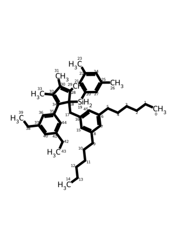 CCCCCCc1cc(CCCCCC)cc(CC2([SiH2]c3cc(C)cc(C)c3)C(C)=C(C)C(C)=C2c2cc(CC)cc(CC)c2)c1